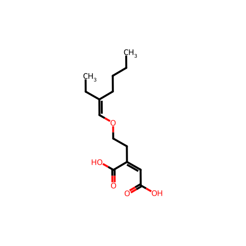 CCCCC(=COCC/C(=C/C(=O)O)C(=O)O)CC